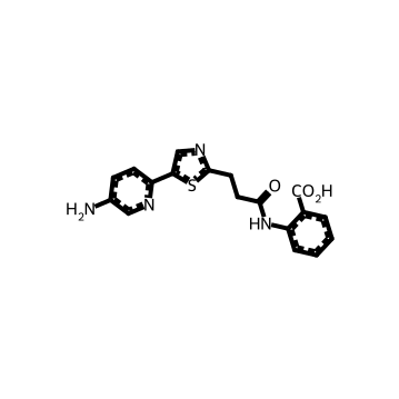 Nc1ccc(-c2cnc(CCC(=O)Nc3ccccc3C(=O)O)s2)nc1